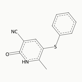 Cc1[nH]c(=O)c(C#N)cc1Sc1ccccc1